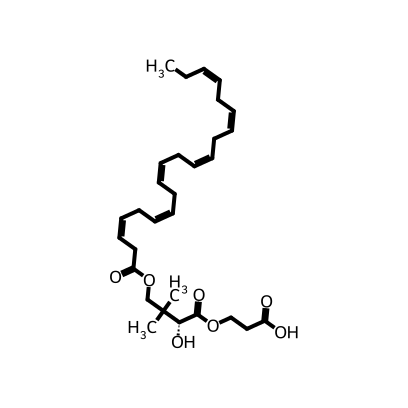 CC/C=C\C/C=C\C/C=C\C/C=C\C/C=C\C/C=C\CC(=O)OCC(C)(C)[C@@H](O)C(=O)OCCC(=O)O